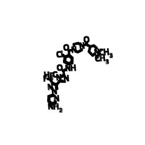 Cn1c(-c2cn(-c3ccc(N)cn3)nc2C(F)F)cnc1C(=O)Nc1ccc(C(=O)N2CCN(C(=O)C3CC[N+](C)(C)CC3)CC2)c(Cl)c1